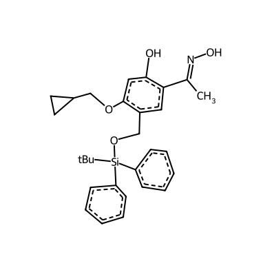 CC(=NO)c1cc(CO[Si](c2ccccc2)(c2ccccc2)C(C)(C)C)c(OCC2CC2)cc1O